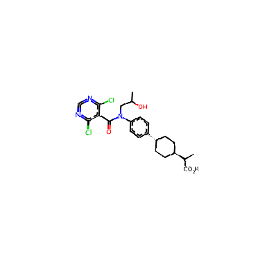 CC(O)CN(C(=O)c1c(Cl)ncnc1Cl)c1ccc([C@H]2CC[C@H](C(C)C(=O)O)CC2)cc1